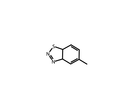 CC1=CC2N=NSC2C=C1